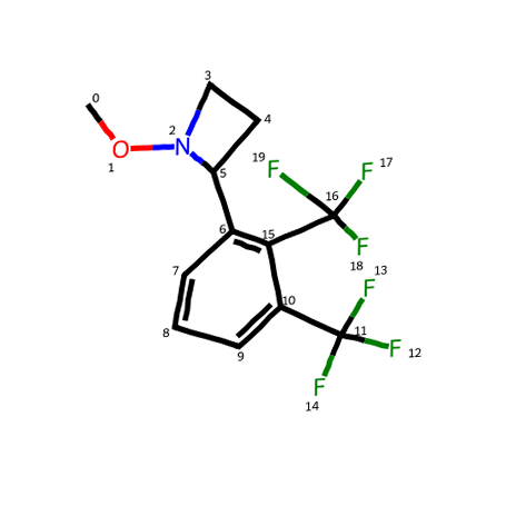 CON1CCC1c1cccc(C(F)(F)F)c1C(F)(F)F